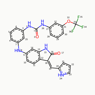 O=C(Nc1cccc(Nc2ccc3c(c2)NC(=O)/C3=C\c2ccc[nH]2)c1)Nc1cccc(OC(F)(F)F)c1